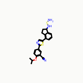 CC(C)Oc1ccc(-c2ncc(-c3cccc4c3CCC4NSN)s2)cc1C#N